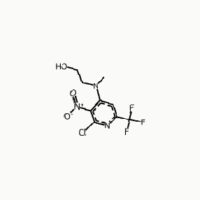 CN(CCO)c1cc(C(F)(F)F)nc(Cl)c1[N+](=O)[O-]